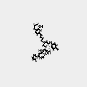 O=C(O)[C@H](CCN(CCCCc1ccc2c(n1)NCCC2)CCOc1ccc(F)cc1)Nc1cc(-n2cccn2)ncn1